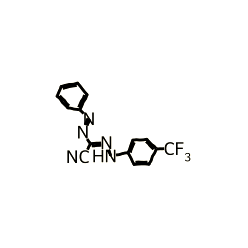 N#CC(N=Nc1ccccc1)=NNc1ccc(C(F)(F)F)cc1